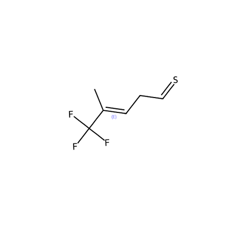 C/C(=C\CC=S)C(F)(F)F